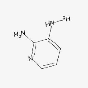 [2H]Nc1cccnc1N